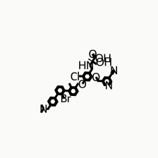 Cc1c(COc2cc(OCc3cncc(C#N)c3)c(CN[C@@](C)(CO)C(=O)O)cc2Cl)cccc1-c1cccc(-c2ccc(CN(C)C)cc2)c1Br